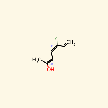 C=C/C(Cl)=C\C=C(/C)O